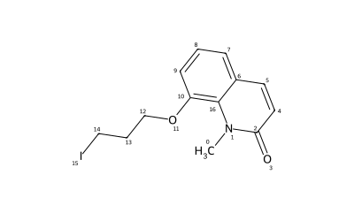 Cn1c(=O)ccc2cccc(OCCCI)c21